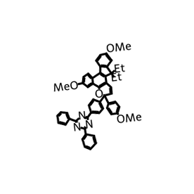 CCC1(CC)c2cc(OC)ccc2-c2c1c1c(c3cc(OC)ccc23)OC(c2ccc(OC)cc2)(c2ccc(-c3nc(-c4ccccc4)nc(-c4ccccc4)n3)cc2)C=C1